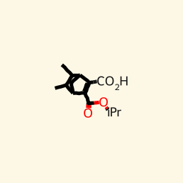 CC(C)OC(=O)C1=C(C(=O)O)C2CC1C(C)C2C